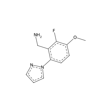 COc1ccc(-n2cccn2)c(CN)c1F